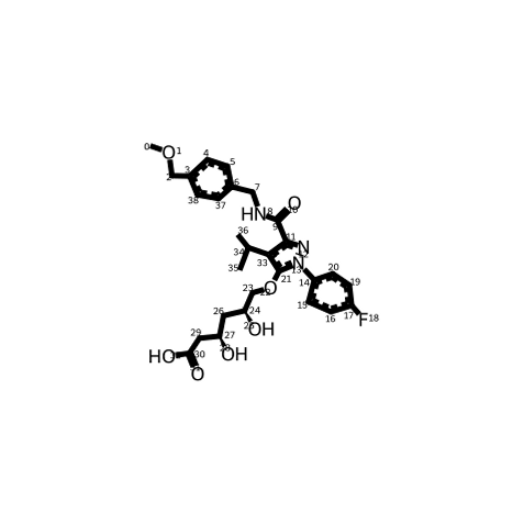 COCc1ccc(CNC(=O)c2nn(-c3ccc(F)cc3)c(OC[C@@H](O)C[C@@H](O)CC(=O)O)c2C(C)C)cc1